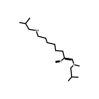 C=N/C(=C\N(C)CC(C)C)CCCCCCNCC(C)C